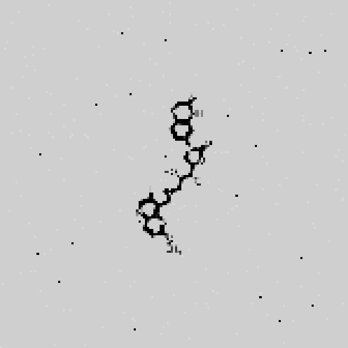 COc1ccc2ncc(F)c(CNC[C@H](O)[C@@H](O)C3CN(c4ccc5c(c4)NC(=O)CS5)C(=O)O3)c2n1